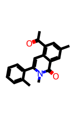 CC(=O)c1cc(C)cc2c(=O)n(C)c(-c3ccccc3C)cc12